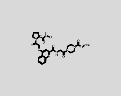 CCCCOC(=O)N1CCN(C(=O)CNC(=O)c2cc(OCC(=O)N3CCC[C@H]3C(=O)NCC)c3ccccc3n2)CC1